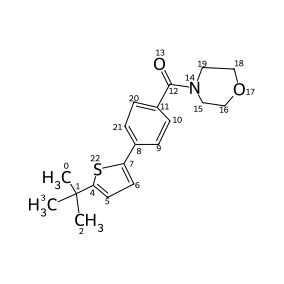 CC(C)(C)c1ccc(-c2ccc(C(=O)N3CCOCC3)cc2)s1